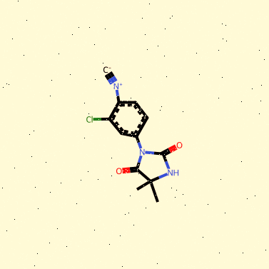 [C-]#[N+]c1ccc(N2C(=O)NC(C)(C)C2=O)cc1Cl